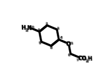 NC1CCC(OCC(=O)O)CC1